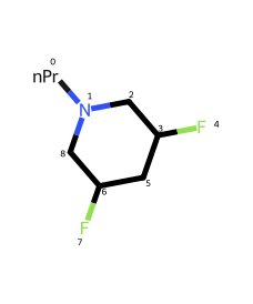 CCCN1CC(F)CC(F)C1